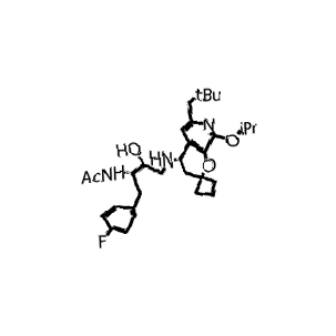 CC(=O)N[C@@H](Cc1ccc(F)cc1)[C@@H](O)CN[C@H]1CC2(CCC2)Oc2c1cc(CC(C)(C)C)nc2OC(C)C